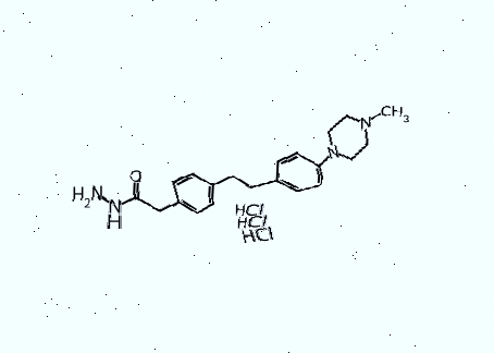 CN1CCN(c2ccc(CCc3ccc(CC(=O)NN)cc3)cc2)CC1.Cl.Cl.Cl